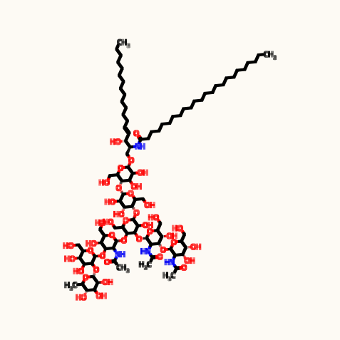 CCCCCCCCCCCCC/C=C/[C@@H](O)[C@H](CO[C@@H]1OC(CO)[C@@H](O[C@@H]2OC(CO)[C@H](O[C@@H]3OC(CO)[C@H](O[C@@H]4OC(CO)[C@H](O)[C@H](O[C@@H]5OC(CO)[C@H](O)[C@H](O)C5O[C@H]5OC(C)[C@@H](O)C(O)[C@@H]5O)C4NC(C)=O)[C@H](O[C@@H]4OC(CO)[C@H](O)[C@H](O[C@H]5OC(CO)[C@H](O)[C@H](O)C5NC(C)=O)C4NC(C)=O)C3O)[C@H](O)C2O)[C@H](O)C1O)NC(=O)CCCCCCCCCCCCCCCCCCCCCCC